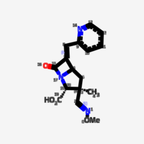 CO/N=C/[C@]1(C)CC2/C(=C\c3ccccn3)C(=O)N2[C@H]1C(=O)O